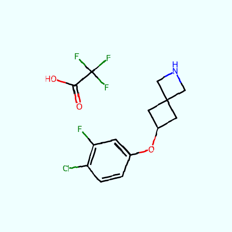 Fc1cc(OC2CC3(CNC3)C2)ccc1Cl.O=C(O)C(F)(F)F